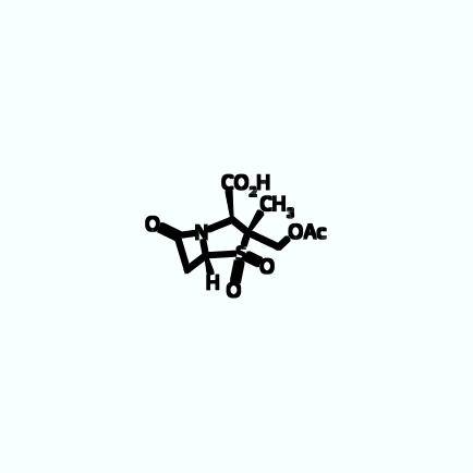 CC(=O)OC[C@@]1(C)[C@H](C(=O)O)N2C(=O)C[C@H]2S1(=O)=O